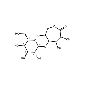 O=C1OCC(O)C(O[C@@H]2O[C@H](CO)[C@H](O)[C@H](O)[C@H]2O)C(O)C1O